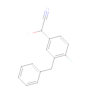 N#CC(O)c1ccc(F)c(Cc2ccccc2)c1